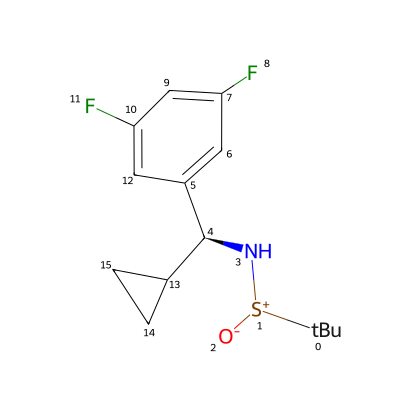 CC(C)(C)[S+]([O-])N[C@H](c1cc(F)cc(F)c1)C1CC1